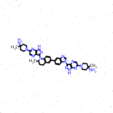 CC1CCc2cc(-c3ccc4c(c3)ncn4-c3n[nH]c4nc(N5CCC(C)(N)CC5)cnc34)ccc2N1c1n[nH]c2nc(N3CCC(C)(N)CC3)cnc12